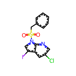 O=S(=O)(Cc1ccccc1)n1cc(I)c2cc(Cl)cnc21